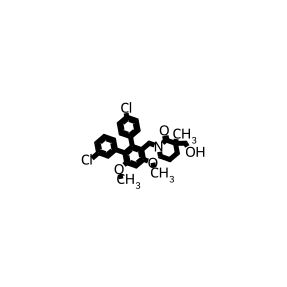 COc1cc(OC)c(-c2cccc(Cl)c2)c(-c2ccc(Cl)cc2)c1CN1CCCC(C)(CO)C1=O